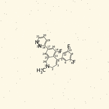 CN1CC=C(c2cc(F)cc(F)c2)c2c(F)cc(-c3cccnn3)cc2C1